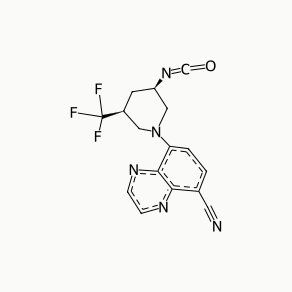 N#Cc1ccc(N2C[C@H](N=C=O)C[C@H](C(F)(F)F)C2)c2nccnc12